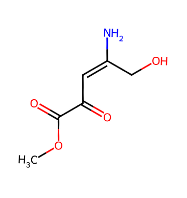 COC(=O)C(=O)/C=C(/N)CO